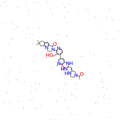 CC(=O)N1CCN/C(=C\C(=N)Nc2cc(-c3ccnc(N4CCn5c(cc6c5CC(C)(C)C6)C4=O)c3CO)cn(C)c2=O)C1